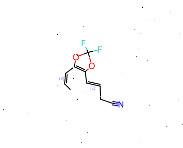 C/C=C\C1=C(/C=C/CC#N)OC(F)(F)O1